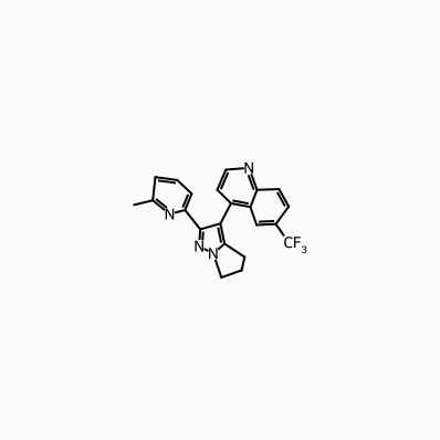 Cc1cccc(-c2nn3c(c2-c2ccnc4ccc(C(F)(F)F)cc24)CCC3)n1